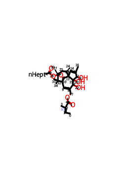 C/C=C(/C)C(=O)OCC1=CC2C(=O)C3(C=C(C)C(O)C3(O)C1O)[C@H](C)C[C@@](C)(OC(=O)CCCCCCC)C2(C)C